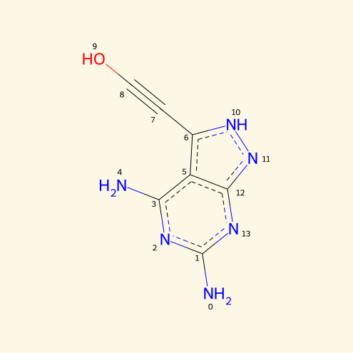 Nc1nc(N)c2c(C#CO)[nH]nc2n1